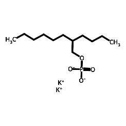 CCCCCCC(CCCC)COP(=O)([O-])[O-].[K+].[K+]